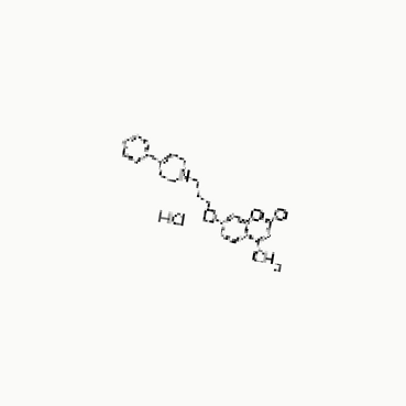 Cc1cc(=O)oc2cc(OCCCN3CC=C(c4ccccc4)CC3)ccc12.Cl